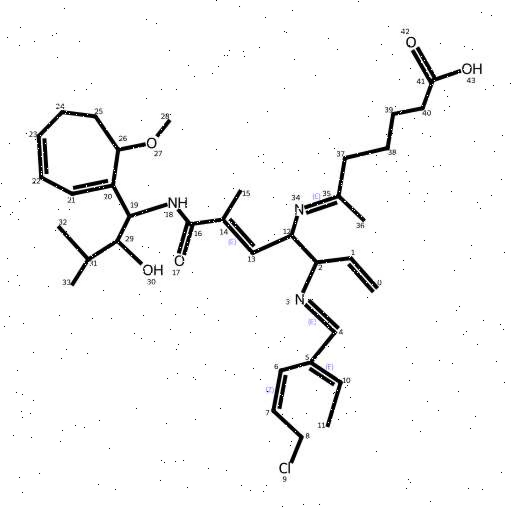 C=CC(/N=C/C(/C=C\CCl)=C/C)C(/C=C(\C)C(=O)NC(C1=CC=CCCC1OC)C(O)C(C)C)/N=C(\C)CCCCC(=O)O